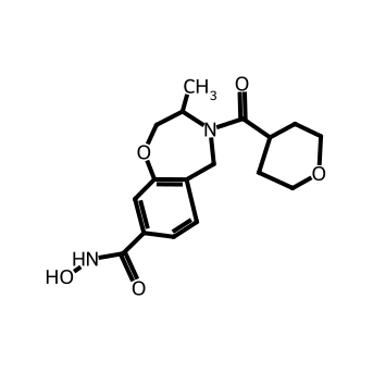 CC1COc2cc(C(=O)NO)ccc2CN1C(=O)C1CCOCC1